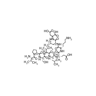 CC(C)C[C@H](NC(=O)[C@H](CCCCN)NC(=O)[C@H](CCC(=O)O)NC(=O)[C@H](CC(C)C)NC(=O)[C@@H](NC(=O)[C@H](CO)NC(=O)[C@@H]1CCCN1C(=O)[C@@H](N)C(C)C)C(C)C)C(=O)N[C@@H](CC(=O)O)C(=O)O